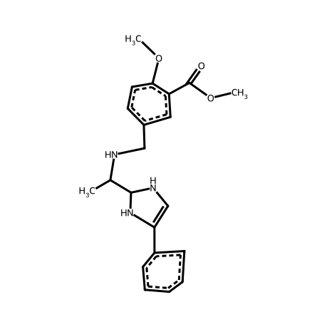 COC(=O)c1cc(CNC(C)C2NC=C(c3ccccc3)N2)ccc1OC